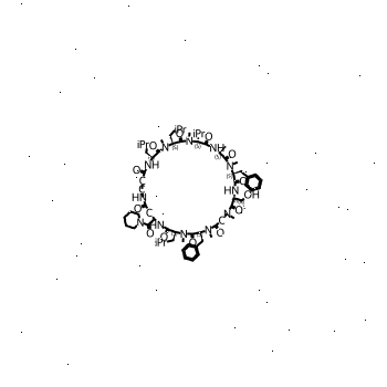 CC(C)C[C@@H]1NC(=O)CCNC(=O)CC(C(=O)N2CCCCC2)NC(=O)[C@H](CC(C)C)N(C)C(=O)[C@H](Cc2ccccc2)N(C)C(=O)CN(C)C(=O)[C@H]([C@@H](C)O)NC(=O)[C@H](Cc2ccccc2)N(C)C(=O)[C@H](C)NC(=O)[C@H](C(C)C)N(C)C(=O)[C@H](CC(C)C)N(C)C1=O